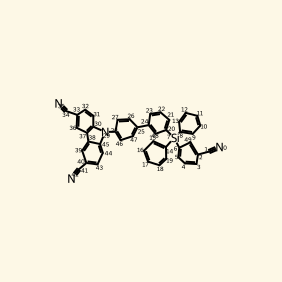 N#Cc1cccc([Si](c2ccccc2)(c2ccccc2)c2cccc(-c3ccc(-n4c5ccc(C#N)cc5c5cc(C#N)ccc54)cc3)c2)c1